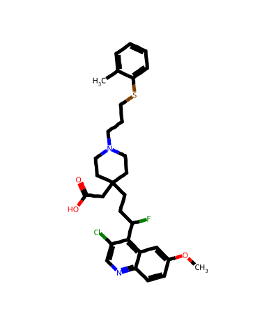 COc1ccc2ncc(Cl)c(C(F)CCC3(CC(=O)O)CCN(CCCSc4ccccc4C)CC3)c2c1